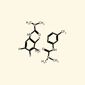 CN(C)C(=O)Nc1cccc(C(F)(F)F)c1.Cc1c(F)c(F)cc(NC(=O)N(C)C)c1F